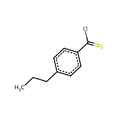 CCCc1ccc(C(=S)Cl)cc1